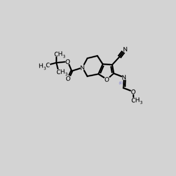 CO/C=N/c1oc2c(c1C#N)CCN(C(=O)OC(C)(C)C)C2